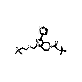 CC(C)(C)OC(=O)N1CCc2c(c(-c3cccnn3)nn2COCC[Si](C)(C)C)C1